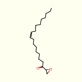 CCCCCCCC/C=C\CCCCCCCC(=O)C1CO1